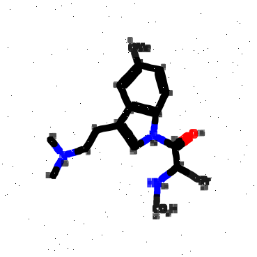 COc1ccc2c(c1)c(CCN(C)C)cn2C(=O)C(NC(=O)O)C(C)C